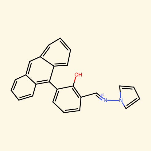 Oc1c(/C=N/n2cccc2)cccc1-c1c2ccccc2cc2ccccc12